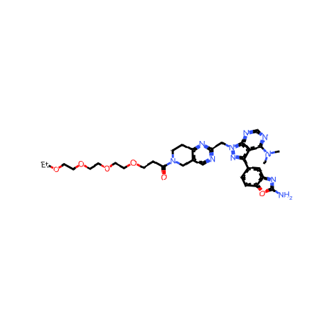 CCOCCOCCOCCOCCC(=O)N1CCc2nc(Cn3nc(-c4ccc5oc(N)nc5c4)c4c(N(C)C)ncnc43)ncc2C1